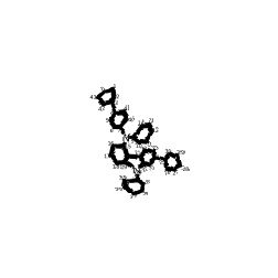 c1ccc(-c2ccc(N(c3ccccc3)c3cccc4c3c3ccc(-c5ccccc5)cc3n4-c3ccccc3)cc2)cc1